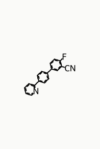 N#Cc1cc(-c2ccc(-c3ccccn3)cc2)ccc1F